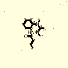 C/C=C/C(=O)Nc1ccccc1N(C)C(C)=NC